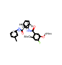 CCCCCCOc1cc(C(=O)N[C@H]2[C@@H](C(=O)Nc3cccc(C)c3)[C@@H]3C=C[C@H]2C3)c(OC)cc1F